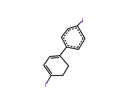 IC1=CC=C(c2ccc(I)cc2)CC1